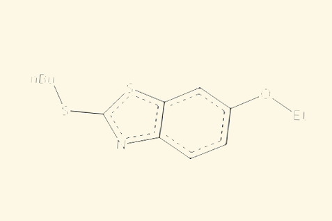 CCCCSc1nc2ccc(OCC)cc2s1